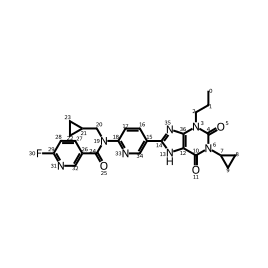 CCCn1c(=O)n(C2CC2)c(=O)c2[nH]c(-c3ccc(N(CC4CC4)C(=O)c4ccc(F)nc4)nc3)nc21